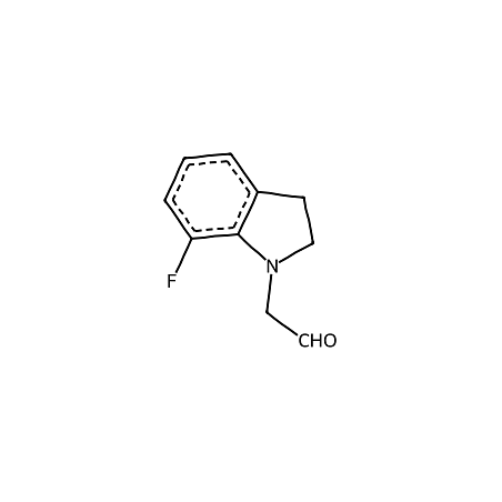 O=CCN1CCc2cccc(F)c21